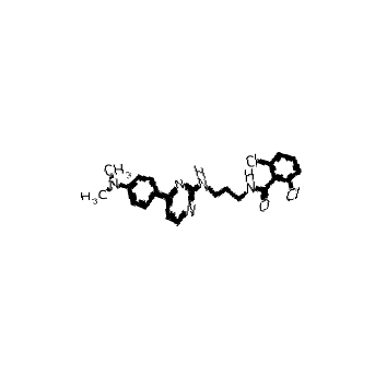 CN(C)c1ccc(-c2ccnc(NCCCNC(=O)c3c(Cl)cccc3Cl)n2)cc1